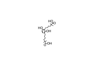 CC(C)(CCCCc1ccc(O)c(CCCCC(C)(C)C(=O)O)c1O)C(=O)O